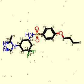 CCCCOc1ccc(S(=O)(=O)N[C@@H]2C[C@H](n3cnnc3C)CC(F)(F)C2)cc1